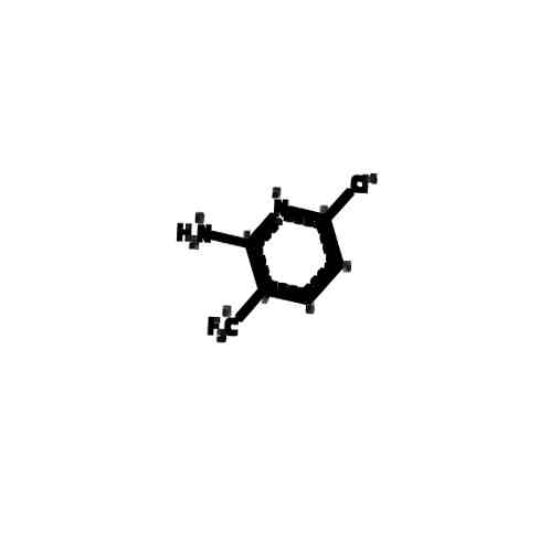 Nc1nc(Cl)ccc1C(F)(F)F